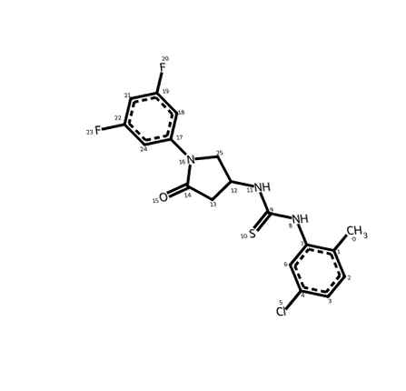 Cc1ccc(Cl)cc1NC(=S)NC1CC(=O)N(c2cc(F)cc(F)c2)C1